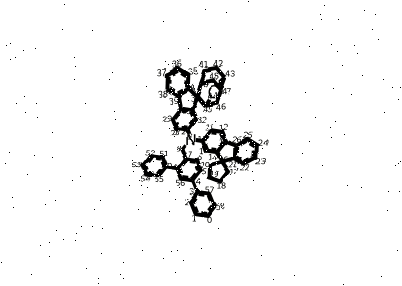 c1ccc(-c2ccc(CN(c3ccc4c(c3)C3(CCCC3)c3ccccc3-4)c3ccc4c(c3)C3(c5ccccc5-4)C4CCC5CC3CC5C4)c(-c3ccccc3)c2)cc1